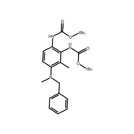 Cc1c(N(C)Cc2ccccc2)ccc(NC(=O)OC(C)(C)C)c1NC(=O)OC(C)(C)C